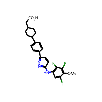 COc1c(F)cc(Nc2ccc(-c3ccc(C4CCC(CC(=O)O)CC4)cc3)nn2)c(F)c1F